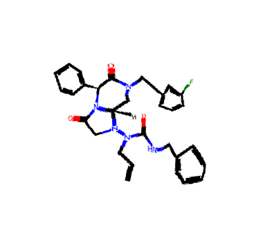 C=CCN(C(=O)NCc1ccccc1)N1CC(=O)N2[C@@H](c3ccccc3)C(=O)N(Cc3cccc(F)c3)C[C@@H]21